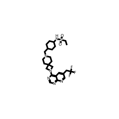 CCS(=O)(=O)NC1CCC(CN2CCC3(CC2)CN(c2ncnc4ncc(CC(F)(F)F)cc24)C3)CC1